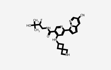 CC(C)(O)C(F)CNC(=O)c1cnc(-c2ccc3cc(C#N)cnn23)cc1NC1CC2(CNC2)C1